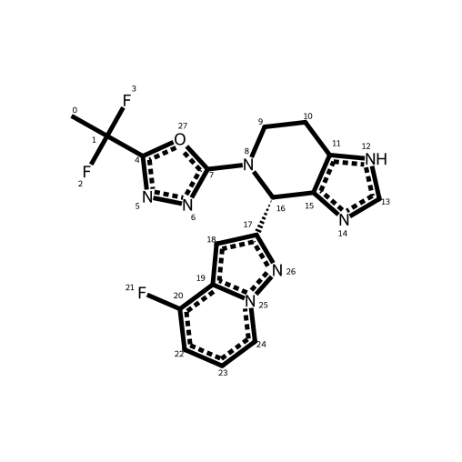 CC(F)(F)c1nnc(N2CCc3[nH]cnc3[C@@H]2c2cc3c(F)cccn3n2)o1